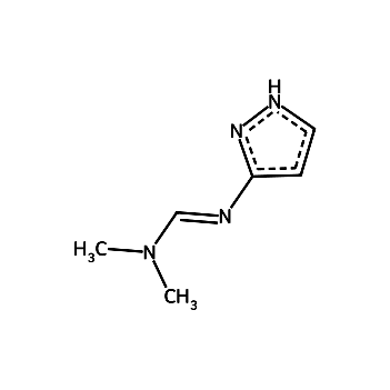 CN(C)C=Nc1cc[nH]n1